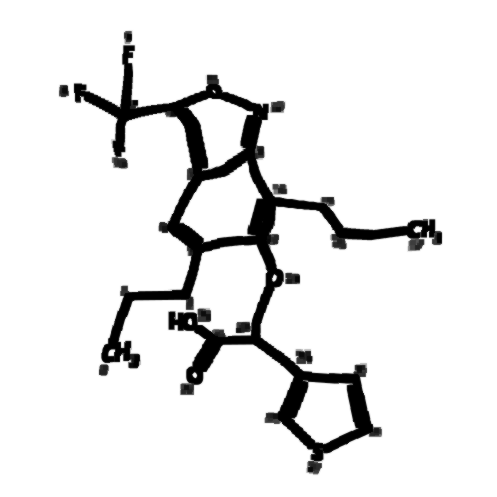 CCCc1cc2c(C(F)(F)F)onc2c(CCC)c1OC(C(=O)O)c1ccsc1